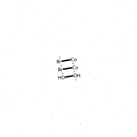 OO.[Co][Br].[Co][Br]